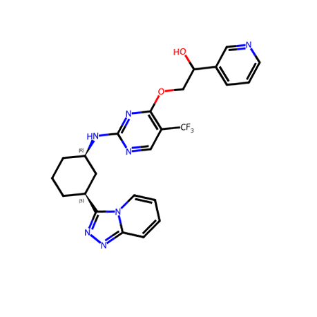 OC(COc1nc(N[C@@H]2CCC[C@H](c3nnc4ccccn34)C2)ncc1C(F)(F)F)c1cccnc1